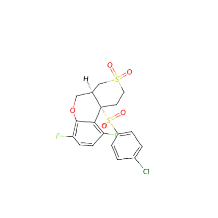 O=S1(=O)CC[C@@]2(S(=O)(=O)c3ccc(Cl)cc3)c3c(F)ccc(F)c3OC[C@H]2C1